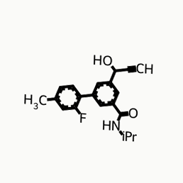 C#CC(O)c1cc(C(=O)NC(C)C)cc(-c2ccc(C)cc2F)c1